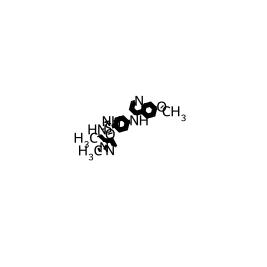 COc1ccc2c(Nc3ccc([S@](=N)(=O)N[C@@H](C)c4ccnn4C)cc3)ccnc2c1